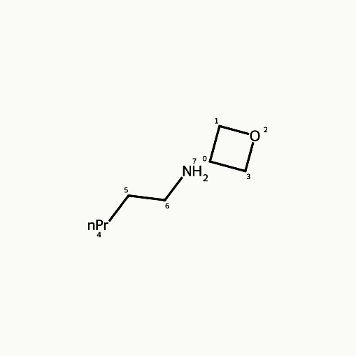 C1COC1.CCCCCN